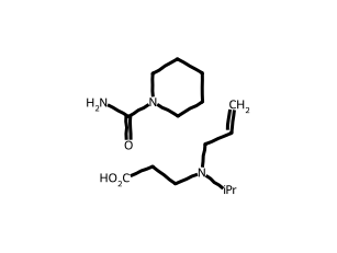 C=CCN(CCC(=O)O)C(C)C.NC(=O)N1CCCCC1